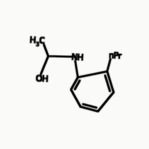 CCCc1ccccc1NC(C)O